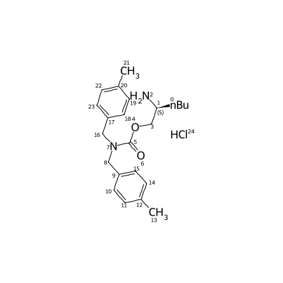 CCCC[C@H](N)COC(=O)N(Cc1ccc(C)cc1)Cc1ccc(C)cc1.Cl